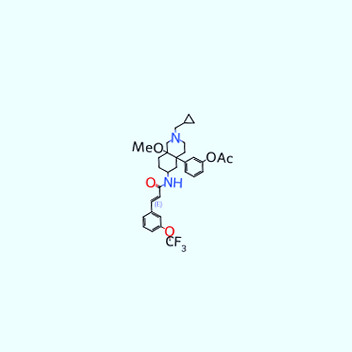 COC12CCC(NC(=O)/C=C/c3cccc(OC(F)(F)F)c3)CC1(c1cccc(OC(C)=O)c1)CCN(CC1CC1)C2